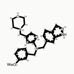 COc1cccc(CN(Cc2ccc3cn[nH]c3c2)c2nc(CN3CCOCC3)cs2)c1